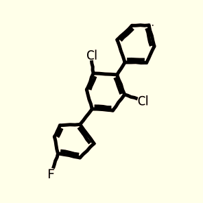 Fc1ccc(-c2cc(Cl)c(-c3cc[c]cc3)c(Cl)c2)cc1